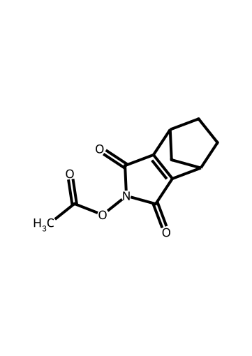 CC(=O)ON1C(=O)C2=C(C1=O)C1CCC2C1